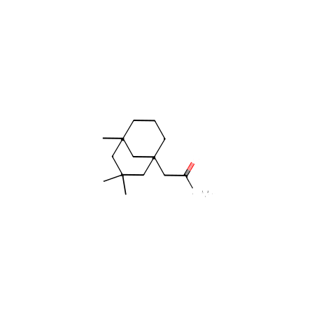 COC(=O)CC12CCCC(C)(CC(C)(C)C1)C2